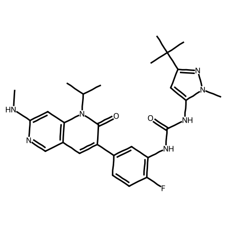 CNc1cc2c(cn1)cc(-c1ccc(F)c(NC(=O)Nc3cc(C(C)(C)C)nn3C)c1)c(=O)n2C(C)C